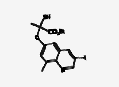 CCOC(=O)C(C)(S)Oc1cc(C)c2ncc(I)cc2c1